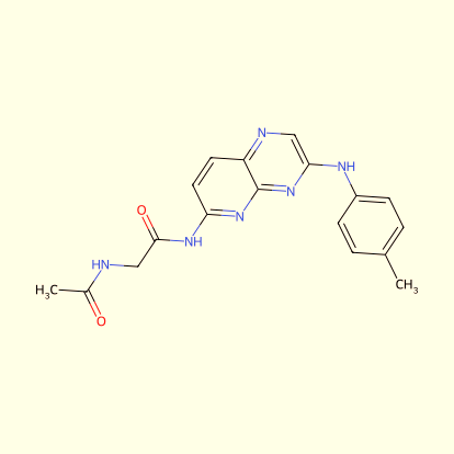 CC(=O)NCC(=O)Nc1ccc2ncc(Nc3ccc(C)cc3)nc2n1